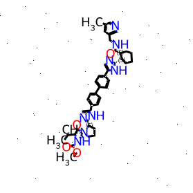 COC(=O)NC(C(=O)N1CCC[C@H]1c1ncc(-c2ccc(-c3ccc(-c4cnc([C@H]5CCCC[C@@H]5C(=O)NCc5cncc(C)c5)[nH]4)cc3)cc2)[nH]1)C(C)C